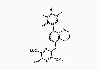 COC1=N[C@@H](C(C)C)C(OC)=N[C@H]1Cc1ccc(-c2cn(C)c(=O)n(C)c2=O)c2c1CCCO2